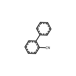 N#Cc1ccc[c]c1-c1ccccc1